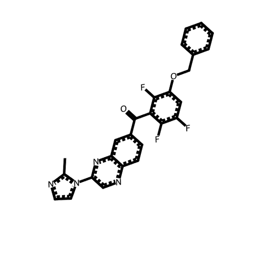 Cc1nccn1-c1cnc2ccc(C(=O)c3c(F)c(F)cc(OCc4ccccc4)c3F)cc2n1